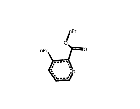 CCCOC(=O)c1ncccc1CCC